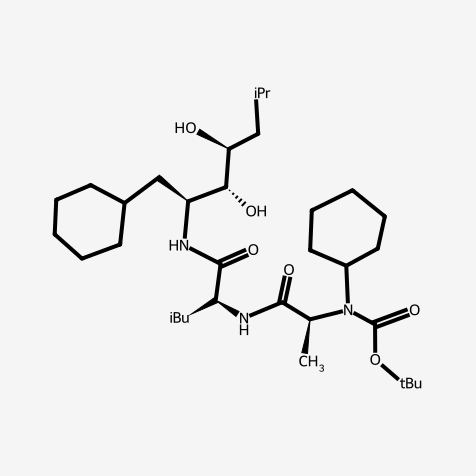 CC[C@H](C)[C@H](NC(=O)[C@H](C)N(C(=O)OC(C)(C)C)C1CCCCC1)C(=O)N[C@@H](CC1CCCCC1)[C@@H](O)[C@@H](O)CC(C)C